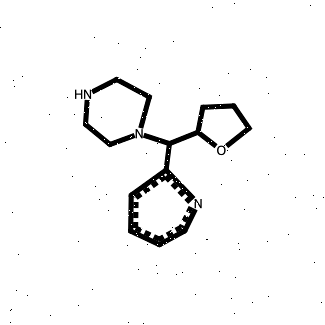 c1ccc(C(C2CCCO2)N2CCNCC2)nc1